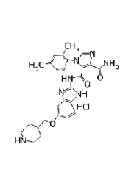 Cc1ccc(-n2cnc(C(N)=O)c2C(=O)Nc2nc3cc(OCC4CCNCC4)ccc3[nH]2)c(C)c1.Cl